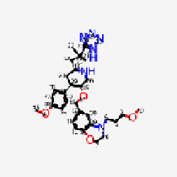 COCCCN1CCOc2ccc(CO[C@H]3CN[C@H](CC(C)(C)c4nnn[nH]4)C[C@@H]3c3ccc(OC)cc3)cc21